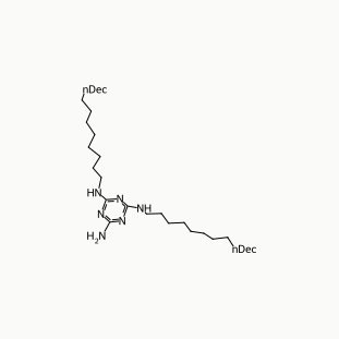 CCCCCCCCCCCCCCCCCCNc1nc(N)nc(NCCCCCCCCCCCCCCCCCC)n1